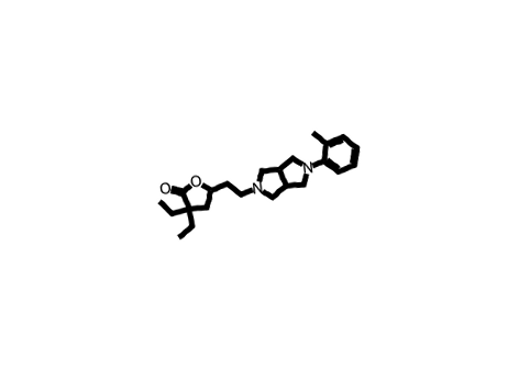 CCC1(CC)CC(CCN2CC3CN(c4ccccc4C)CC3C2)OC1=O